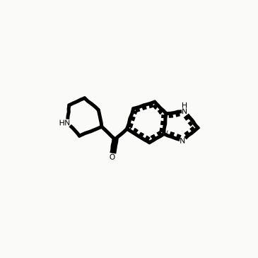 O=C(c1ccc2[nH]cnc2c1)C1CCCNC1